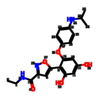 CCNC(=O)c1cc(-c2c(O)cc(O)cc2Oc2ccc(NC(C)C)cc2)on1